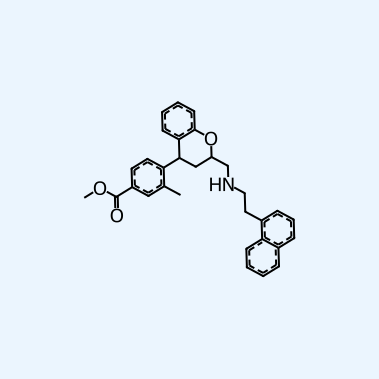 COC(=O)c1ccc(C2CC(CNCCc3cccc4ccccc34)Oc3ccccc32)c(C)c1